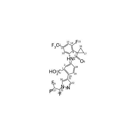 O=C(O)c1cc(NC(=O)C2(c3ccc(C(F)(F)F)cc3F)CC2)ccc1-c1cnn(C(F)C(F)F)c1